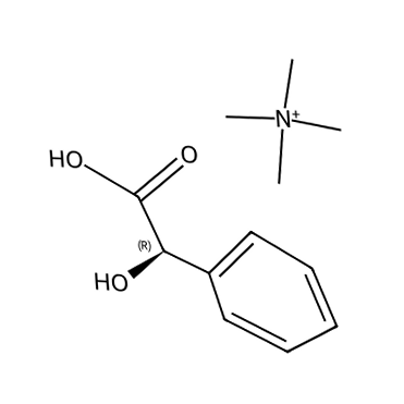 C[N+](C)(C)C.O=C(O)[C@H](O)c1ccccc1